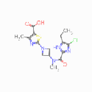 CCc1[nH]c(C(=O)N(C)C2CN(c3nc(C)c(C(=O)O)s3)C2)nc1Cl